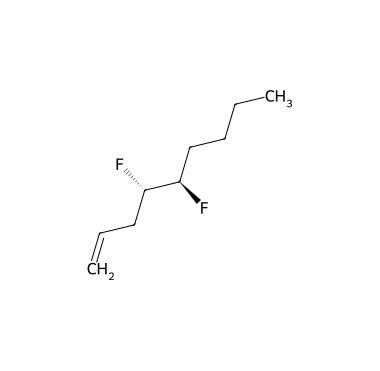 C=CC[C@H](F)[C@H](F)CCCC